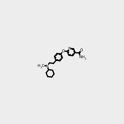 CN(CCc1ccc(Oc2ccc(C(N)=O)cn2)cc1)C1CCCCC1